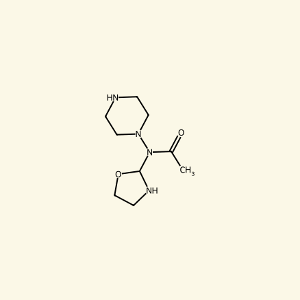 CC(=O)N(C1NCCO1)N1CCNCC1